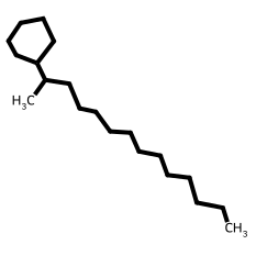 CCCCCCCCCCCCC(C)C1CCCCC1